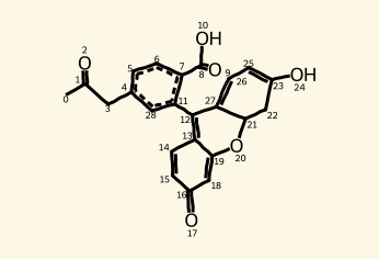 CC(=O)Cc1ccc(C(=O)O)c(C2=C3C=CC(=O)C=C3OC3CC(O)=CC=C23)c1